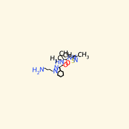 Cc1cc(NC(=O)[C@@H](NC(=O)c2nn(CCCCN)c3ccccc23)C(C)(C)C)sn1